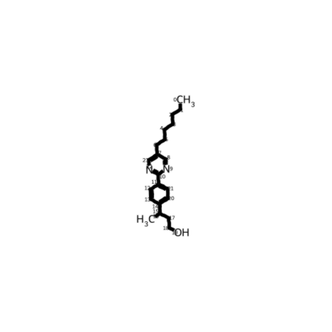 CCCCCCCc1cnc(-c2ccc(C(C)CCO)cc2)nc1